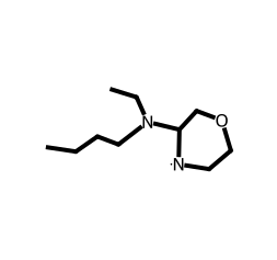 CCCCN(CC)C1COCC[N]1